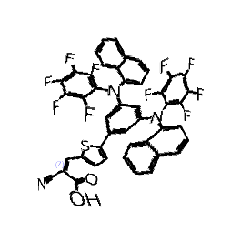 N#C/C(=C/c1ccc(-c2cc(N(c3c(F)c(F)c(F)c(F)c3F)c3cccc4ccccc34)cc(N(c3c(F)c(F)c(F)c(F)c3F)c3cccc4ccccc34)c2)s1)C(=O)O